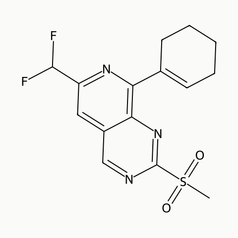 CS(=O)(=O)c1ncc2cc(C(F)F)nc(C3=CCCCC3)c2n1